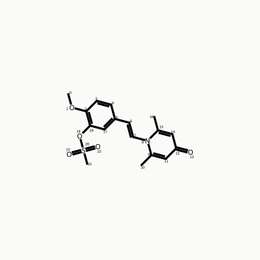 COc1ccc(/C=C/n2c(C)cc(=O)cc2C)cc1OS(C)(=O)=O